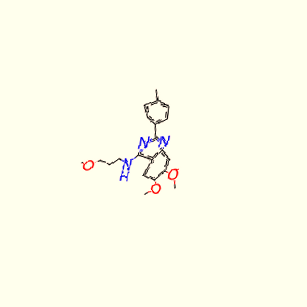 COCCCNc1nc(-c2ccc(C)cc2)nc2cc(OC)c(OC)cc12